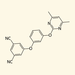 Cc1cc(C)nc(Oc2cccc(Oc3cc(C#N)cc(C#N)c3)c2)n1